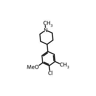 COc1cc(C2CCN(C)CC2)cc(C)c1Cl